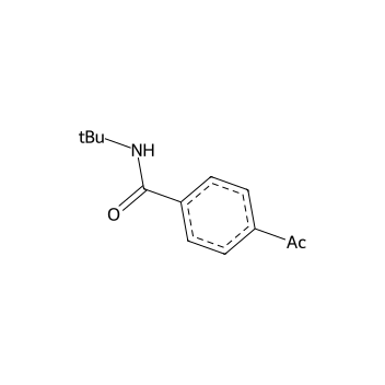 CC(=O)c1ccc(C(=O)NC(C)(C)C)cc1